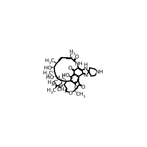 CO[C@H]1/C=C/O[C@@]2(C)Oc3c(c4c5c(O)c3[C@]1(C)[C@@H](OC(C)=O)[C@H](C)[C@H](O)[C@H](C)[C@@H](O)[C@@H](C)/C=C/C=C(/C)C(=O)NC(=C1NC3(CCNCC3)N=C14)C5=O)C2=O